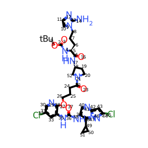 CC(C)(C)OC(=O)N[C@@H](CCCn1ccnc1N)C(=O)N[C@@H]1CCN(C(=O)CCCOc2ncc(Cl)cc2NC(=O)Nc2cnc3cc(Cl)nn3c2C2CC2)C1